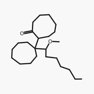 CCCCCCC(OC)C1(C2CCCCCCC2=O)CCCCCCC1